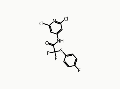 O=C(Nc1cc(Cl)nc(Cl)c1)C(F)(F)Sc1ccc(F)cc1